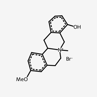 COc1ccc2c(c1)CC[N+]1(C)Cc3c(O)cccc3CC21.[Br-]